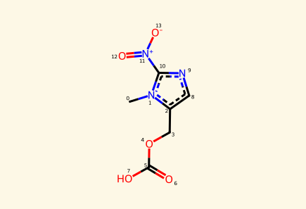 Cn1c(COC(=O)O)cnc1[N+](=O)[O-]